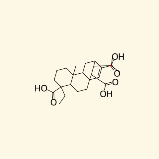 CCC1(C(=O)O)CCCC2(C)C1CCC13C=C(C(C)C)C(CC21)C(C(=O)O)C3C(=O)O